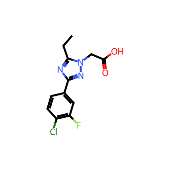 CCc1nc(-c2ccc(Cl)c(F)c2)nn1CC(=O)O